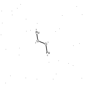 [Pu][O][O][Pu]